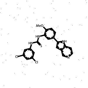 COc1ccc(-c2cc3cnccc3[nH]2)cc1NC(=S)Nc1cc(Cl)cc(Cl)c1